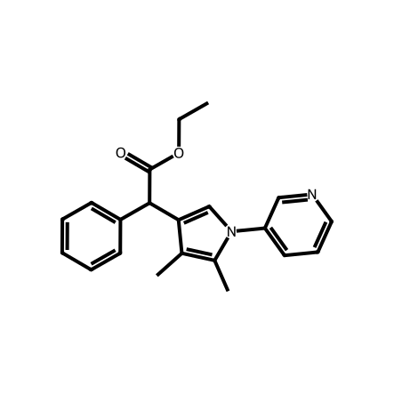 CCOC(=O)C(c1ccccc1)c1cn(-c2cccnc2)c(C)c1C